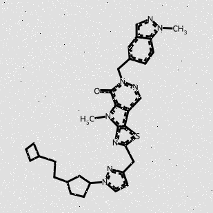 Cn1ncc2cc(Cn3ncc4c5sc(Cc6ccn(C7CCC(CCC8CCC8)C7)n6)nc5n(C)c4c3=O)ccc21